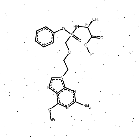 CCCOc1nc(N)nc2c1ncn2CCOCP(=O)(N[C@@H](C)C(=O)OC(C)C)Oc1ccccc1